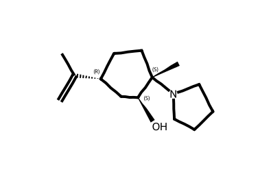 C=C(C)[C@@H]1CC[C@](C)(N2CCCC2)[C@@H](O)C1